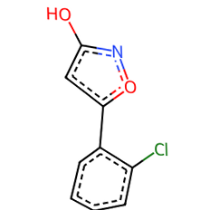 Oc1cc(-c2ccccc2Cl)on1